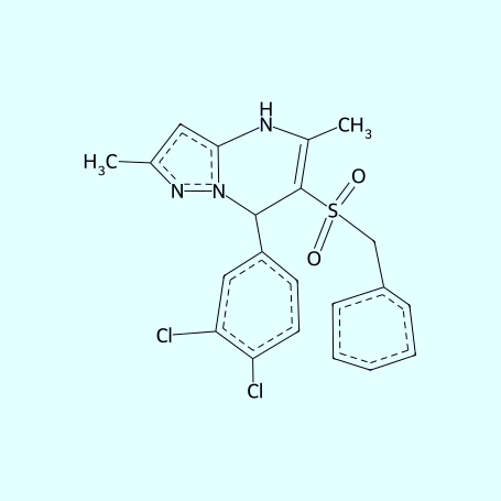 CC1=C(S(=O)(=O)Cc2ccccc2)C(c2ccc(Cl)c(Cl)c2)n2nc(C)cc2N1